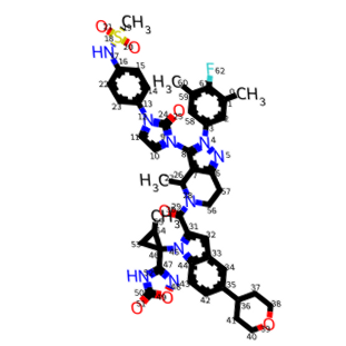 Cc1cc(-n2nc3c(c2-n2ccn(-c4ccc(NS(C)(=O)=O)cc4)c2=O)C(C)N(C(=O)c2cc4cc(C5CCOCC5)ccc4n2C2(c4noc(=O)[nH]4)CC2C)CC3)cc(C)c1F